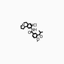 COc1ccc(C(=O)Nc2ccc3c(c2)C2CCCN2CC3)cc1C(=O)C(C)C.Cl